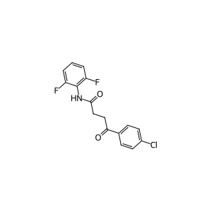 O=C(CCC(=O)c1ccc(Cl)cc1)Nc1c(F)cccc1F